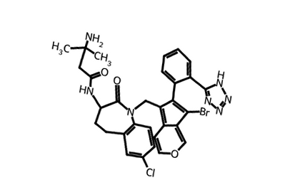 CC(C)(N)CC(=O)NC1CCc2cc(Cl)ccc2N(Cc2c3ccocc-3c(Br)c2-c2ccccc2-c2nnn[nH]2)C1=O